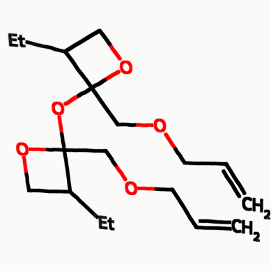 C=CCOCC1(OC2(COCC=C)OCC2CC)OCC1CC